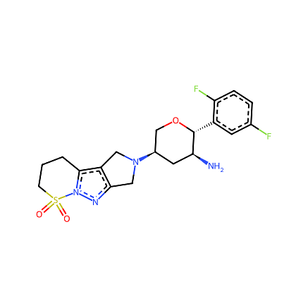 N[C@H]1C[C@@H](N2Cc3nn4c(c3C2)CCCS4(=O)=O)CO[C@@H]1c1cc(F)ccc1F